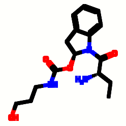 CC[C@H](N)C(=O)N1c2ccccc2C[C@@H]1OC(=O)NCCCO